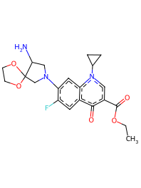 CCOC(=O)c1cn(C2CC2)c2cc(N3CC(N)C4(C3)OCCO4)c(F)cc2c1=O